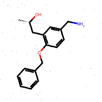 C[C@H](O)Cc1cc(CN)ccc1OCc1ccccc1